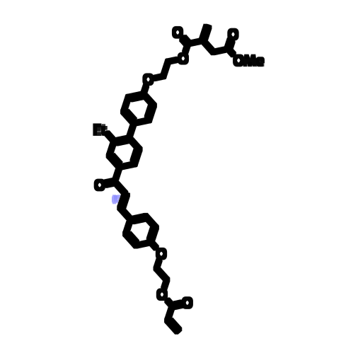 C=CC(=O)OCCOc1ccc(/C=C/C(=O)c2ccc(-c3ccc(OCCOC(=O)C(=C)CC(=O)OC)cc3)c(CC)c2)cc1